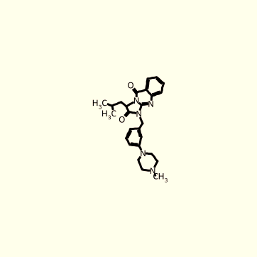 CC(C)CC1C(=O)N(Cc2cccc(N3CCN(C)CC3)c2)c2nc3ccccc3c(=O)n21